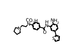 Nc1ccc(-c2cccs2)cc1NC(=O)c1ccc(N(CCN2CCCC2)C(=O)O)cc1